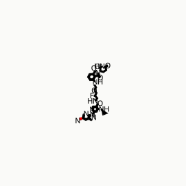 N#Cc1cnc2c(cnn2-c2cc(NC3CC3)c(C(=O)NCC(F)COCCNc3cccc4c3C(=O)N(C3CCC(=O)NC3=O)C4=O)cn2)c1